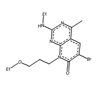 CCNc1nc(C)c2cc(Br)c(=O)n(CCCOCC)c2n1